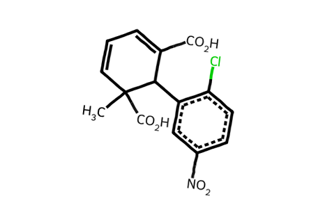 CC1(C(=O)O)C=CC=C(C(=O)O)C1c1cc([N+](=O)[O-])ccc1Cl